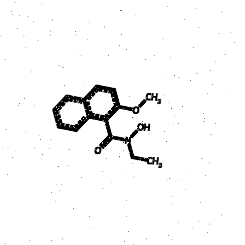 CCN(O)C(=O)c1c(OC)ccc2ccccc12